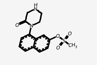 CS(=O)(=O)Oc1ccc2cccc(N3CCNCC3=O)c2c1